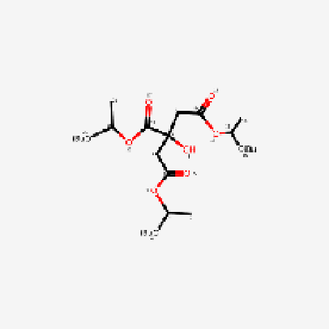 CC(C)COC(C)OC(=O)CC(O)(CC(=O)OC(C)OCC(C)C)C(=O)OC(C)OCC(C)C